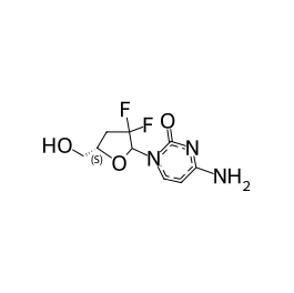 Nc1ccn(C2O[C@H](CO)CC2(F)F)c(=O)n1